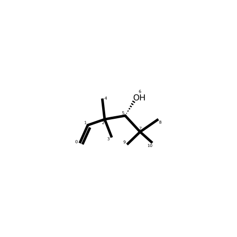 C=CC(C)(C)[C@H](O)C(C)(C)C